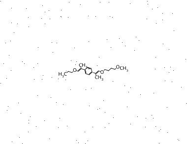 CCCOC=C(C)c1ccc(C(C)=COCCCCOC)cc1